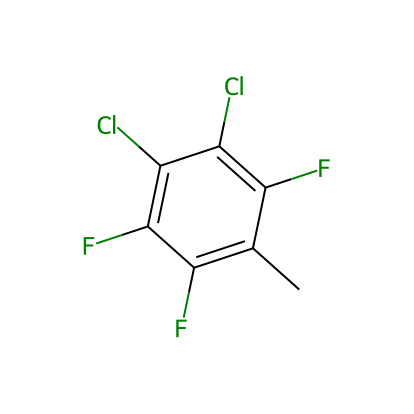 Cc1c(F)c(F)c(Cl)c(Cl)c1F